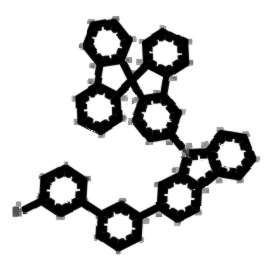 Brc1cccc(-c2cccc(-c3ccc4c5ccccc5n(-c5ccc6c(c5)-c5ccccc5C65c6ccccc6-c6ccccc65)c4c3)c2)c1